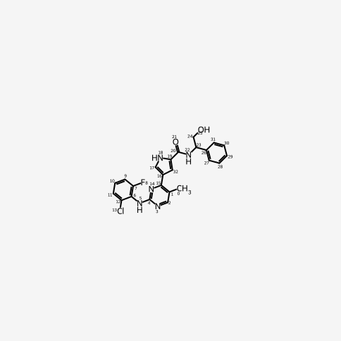 Cc1cnc(Nc2c(F)cccc2Cl)nc1-c1c[nH]c(C(=O)NC(CO)c2ccccc2)c1